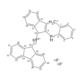 Cc1ccccc1PC1=Cc2ccccc2[CH]1[Hf+2][CH]1c2ccccc2-c2ccccc21.[F-].[F-]